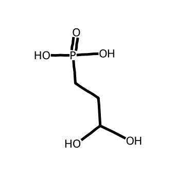 O=P(O)(O)CCC(O)O